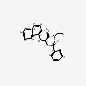 CCOC(=O)C(CC(=O)c1ccccc1)Cc1cccc2ccccc12